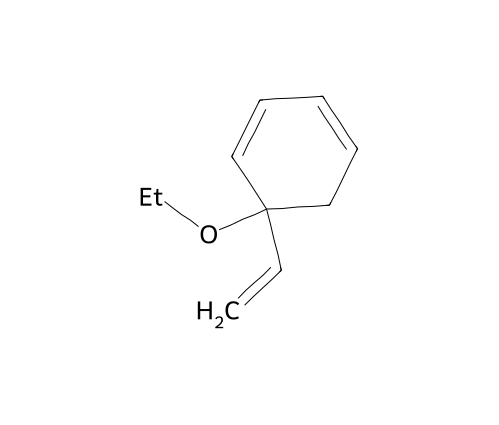 C=CC1(OCC)C=CC=CC1